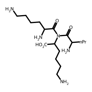 CCCC(N)C(=O)N(C(=O)C(N)CCCCN)C(CCCCN)C(=O)O